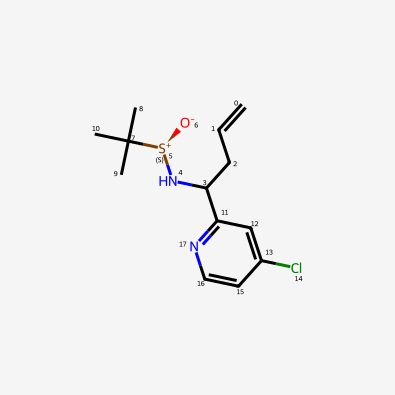 C=CCC(N[S@+]([O-])C(C)(C)C)c1cc(Cl)ccn1